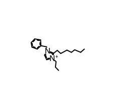 CCCCCCCc1n(Cc2ccccc2)cc[n+]1CCC